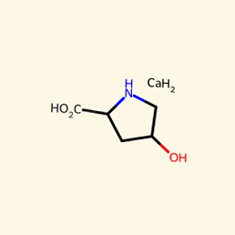 O=C(O)C1CC(O)CN1.[CaH2]